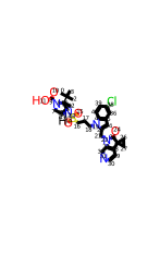 CC(C)(C)[C@@]12C[C@H](CN1C(=O)O)N(S(=O)(=O)CCCn1c(CN3C(=O)C4(CC4)c4ccncc43)cc3cc(Cl)ccc31)C2